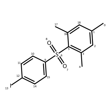 Cc1cc(C)c(S(=O)(=O)c2ccc(I)cc2)c(C)c1